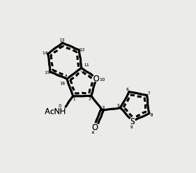 CC(=O)Nc1c(C(=O)c2cccs2)oc2ccccc12